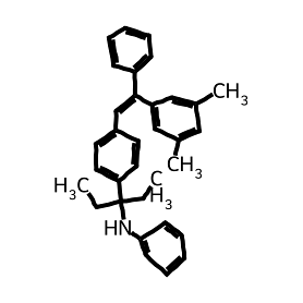 CCC(CC)(Nc1ccccc1)c1ccc(C=C(c2ccccc2)c2cc(C)cc(C)c2)cc1